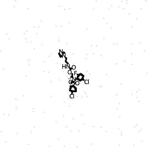 C[C@H](COC(=O)NCCCn1ccnc1)N(c1cc(Cl)ccc1F)S(=O)(=O)c1ccc(Cl)cc1